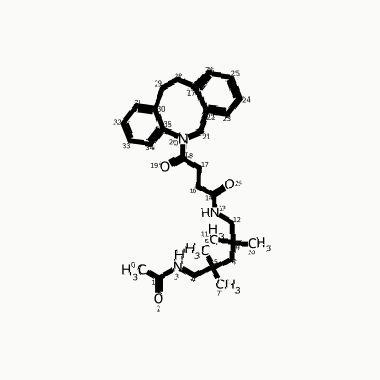 CC(=O)NCC(C)(C)CC(C)(C)CNC(=O)CCC(=O)N1Cc2ccccc2CCc2ccccc21